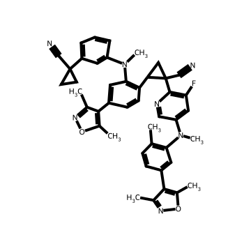 Cc1ccc(-c2c(C)noc2C)cc1N(C)c1cnc(C2(C#N)CC2c2ccc(-c3c(C)noc3C)cc2N(C)c2cccc(C3(C#N)CC3)c2)c(F)c1